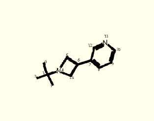 CC(C)(C)N1CC(c2cccnc2)C1